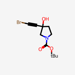 CC(C)(C)OC(=O)N1CCC(O)(C#CBr)C1